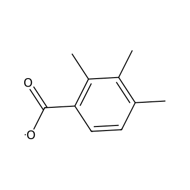 Cc1ccc(C([O])=O)c(C)c1C